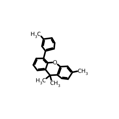 Cc1cccc(-c2cccc3c2Oc2cc(C)ccc2C3(C)C)c1